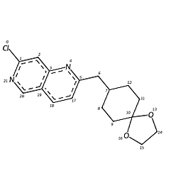 Clc1cc2nc(CC3CCC4(CC3)OCCO4)ccc2cn1